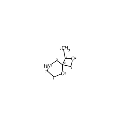 CC1OCC12CNCCO2